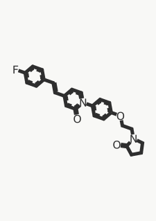 O=C1CCCN1CCOc1ccc(-n2ccc(C=Cc3ccc(F)cc3)cc2=O)cc1